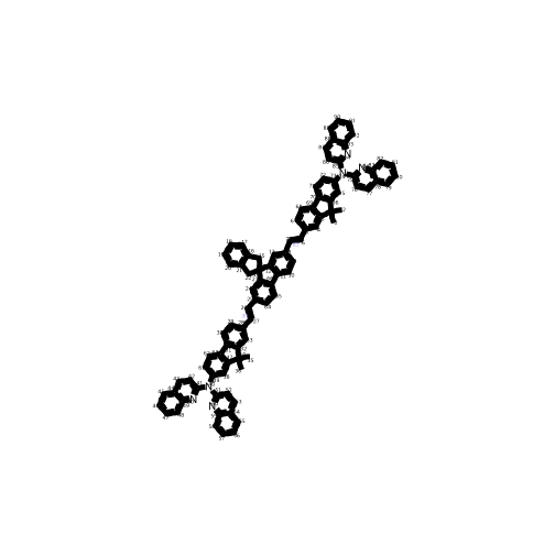 CC1(C)c2cc(/C=C/c3ccc4c(c3)C3(Cc5ccccc5C3)c3cc(/C=C/c5ccc6c(c5)C(C)(C)c5cc(N(c7ccc8ccccc8n7)c7ccc8ccccc8n7)ccc5-6)ccc3-4)ccc2-c2ccc(N(c3ccc4ccccc4n3)c3ccc4ccccc4n3)cc21